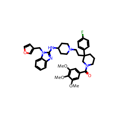 COc1cc(C(=O)N2CCCC(CCN3CCC(Nc4nc5ccccc5n4Cc4ccoc4)CC3)(c3ccc(F)cc3)C2)cc(OC)c1OC